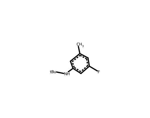 Cc1cc(F)cc(NC(C)(C)C)c1